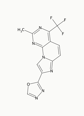 Cc1nc(C(F)(F)F)c2ccc3nc(-c4nnco4)cn3c2n1